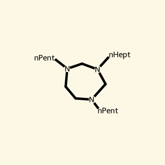 CCCCCCCN1CN(CCCCC)CCN(CCCCC)C1